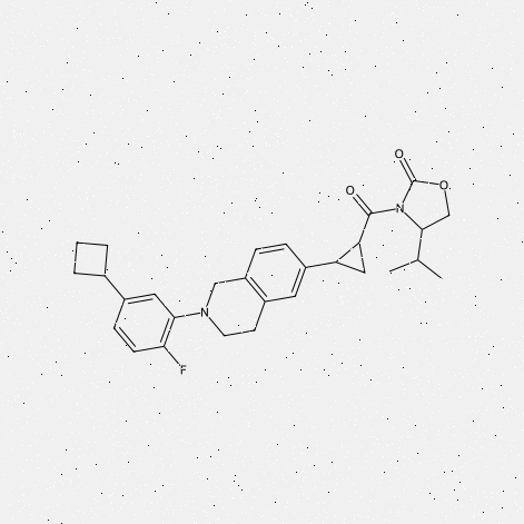 CC(C)C1COC(=O)N1C(=O)C1CC1c1ccc2c(c1)CCN(c1cc(C3CCC3)ccc1F)C2